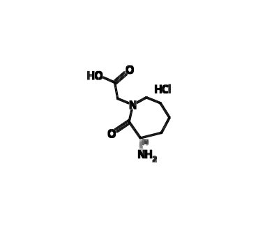 Cl.N[C@H]1CCCCN(CC(=O)O)C1=O